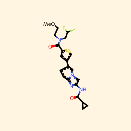 COCCN(CC(F)F)C(=O)c1cc(-c2ccc3nc(NC(=O)C4CC4)cn3c2)cs1